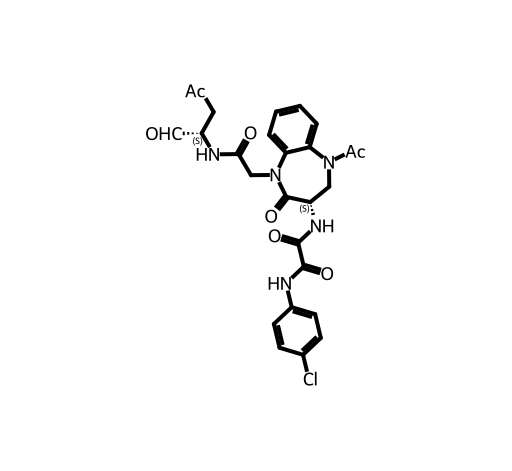 CC(=O)C[C@@H](C=O)NC(=O)CN1C(=O)[C@@H](NC(=O)C(=O)Nc2ccc(Cl)cc2)CN(C(C)=O)c2ccccc21